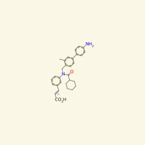 Cc1cc(-c2ccc(N)cc2)ccc1CN(C(=O)C1CCCCC1)c1cccc(/C=C/C(=O)O)c1